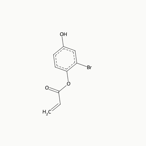 C=CC(=O)Oc1ccc(O)cc1Br